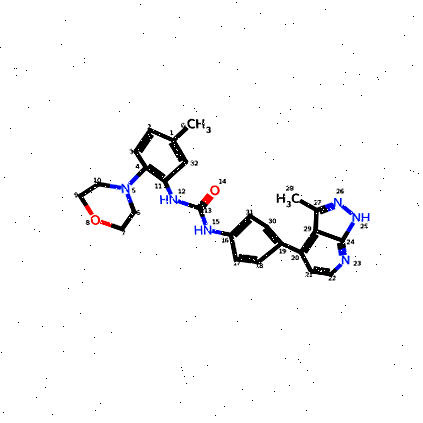 Cc1ccc(N2CCOCC2)c(NC(=O)Nc2ccc(-c3ccnc4[nH]nc(C)c34)cc2)c1